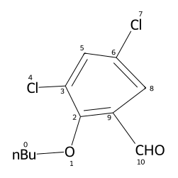 CCCCOc1c(Cl)cc(Cl)cc1C=O